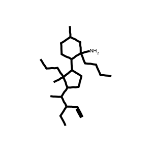 C=CC(CC)C(C)C1CCC(C2CCC(C)CC2(N)CCCC)C1(C)CCC